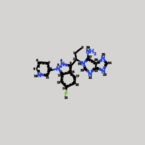 CCC(c1nn(-c2cccnc2)c2cc(F)ccc12)n1cnc2ncnc-2c1N